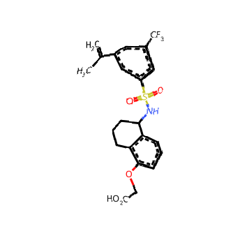 C=C(C)c1cc(C(F)(F)F)cc(S(=O)(=O)NC2CCCc3c(OCC(=O)O)cccc32)c1